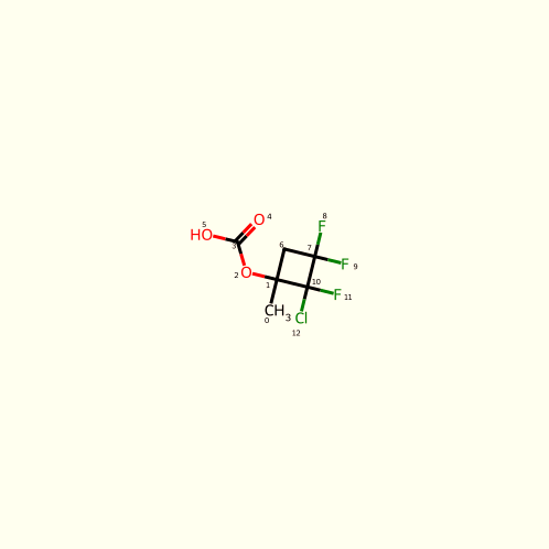 CC1(OC(=O)O)CC(F)(F)C1(F)Cl